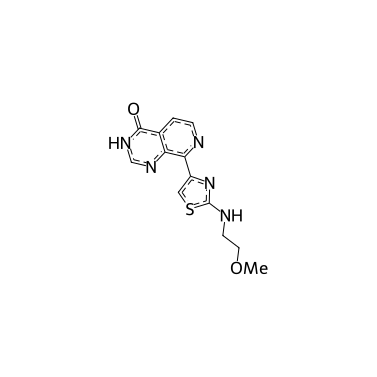 COCCNc1nc(-c2nccc3c(=O)[nH]cnc23)cs1